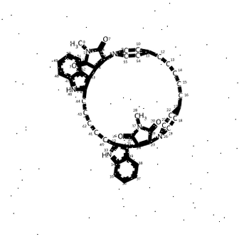 CN1C(=O)C2=C(C1=O)N1CCC(CCCCCC3CCN(CC3)C3=C(C(=O)N(C)C3=O)c3c([nH]c4ccccc34)CCCCCc3[nH]c4ccccc4c32)CC1